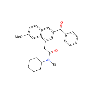 CCN(C(=O)Cc1cc(C(=O)c2ccccc2)cc2ccc(OC)cc12)C1CCCCC1